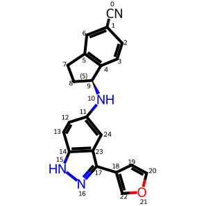 N#Cc1ccc2c(c1)CC[C@@H]2Nc1ccc2[nH]nc(-c3ccoc3)c2c1